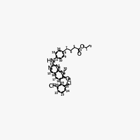 CCOC(=O)CCCc1ccc(Nc2ncc3cc(-c4c(Cl)cccc4Cl)c(=O)n(C)c3n2)cc1